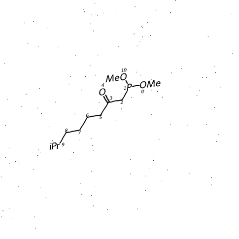 COP(CC(=O)CCCCC(C)C)OC